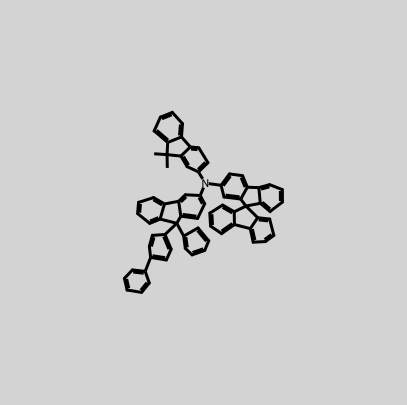 CC1(C)c2ccccc2-c2ccc(N(c3ccc4c(c3)-c3ccccc3C4(c3ccccc3)c3ccc(-c4ccccc4)cc3)c3ccc4c(c3)C3(c5ccccc5-c5ccccc53)c3ccccc3-4)cc21